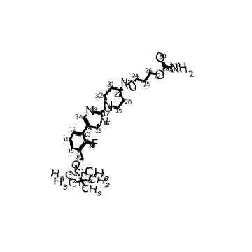 CC(C)(C)[Si](C)(C)OCc1cccc(-c2cnc(N3CCC(=NOCCCOC(N)=O)CC3)nc2)c1F